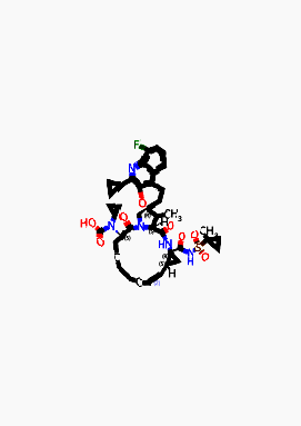 CC1[C@H]2C(=O)N[C@]3(C(=O)NS(=O)(=O)C4(C)CC4)C[C@H]3/C=C\CCCCC[C@H](N(C(=O)O)C3CC3)C(=O)N2C[C@@]12CCc1c(c(C3CC3)nc3c(F)cccc13)O2